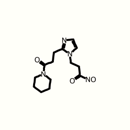 O=NC(=O)CCn1ccnc1CCC(=O)N1CCCCC1